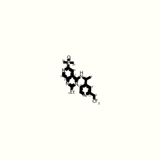 CCc1nc(NC(C)c2ccnc(CC(F)(F)F)c2)c2cc(P(C)(C)=O)ncc2n1